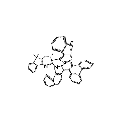 CC1CC2=C(N=C(n3c4ccc5c6ccccc6c6ccccc6c5c4c4ccc5ccccc5c43)C1c1cccc3sc4ccccc4c13)c1ccccc1C2(C)C